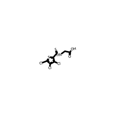 O=C(O)CNC(=S)c1sc(Cl)c(Cl)c1Cl